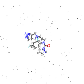 O=C(N1CC(CN2Cc3cn[nH]c3C2)C1)N1N=CCC1c1cc(F)cc(F)c1